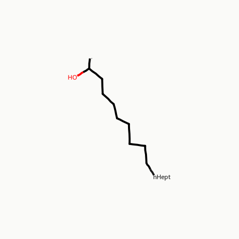 [CH2]C(O)CCCCCCCCCCCCCCC